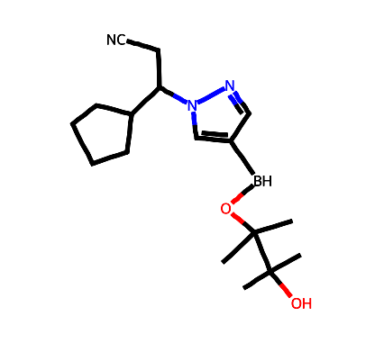 CC(C)(O)C(C)(C)OBc1cnn(C(CC#N)C2CCCC2)c1